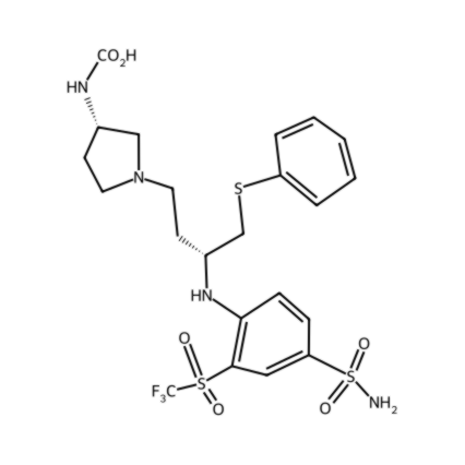 NS(=O)(=O)c1ccc(N[C@H](CCN2CC[C@H](NC(=O)O)C2)CSc2ccccc2)c(S(=O)(=O)C(F)(F)F)c1